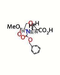 COC(=O)[C@@H]1CO[C@@H]2[C@@H](C(=O)O)[C@@H]2N1C(=O)OCc1ccccc1